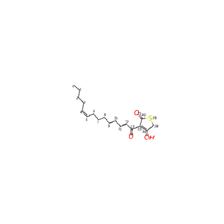 CCCC/C=C\CCCCCCCC(=O)C1=C(O)CSC1=O